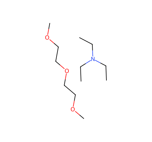 CCN(CC)CC.COCCOCCOC